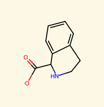 [O]C(=O)C1NCCc2ccccc21